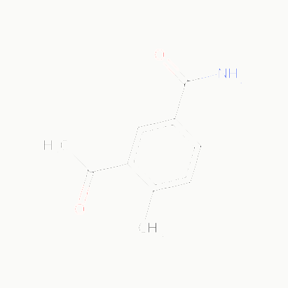 CC(=O)c1cc(C(N)=O)ccc1C